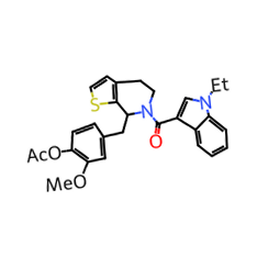 CCn1cc(C(=O)N2CCc3ccsc3C2Cc2ccc(OC(C)=O)c(OC)c2)c2ccccc21